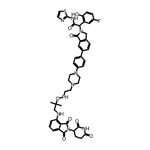 CC(C)(CNc1cccc2c1C(=O)N(C1CCC(=O)NC1=O)C2=O)OPCCN1CCN(c2ccc(-c3ccc4c(c3)C(=O)N(C(C(=O)Nc3nccs3)c3cc(F)ccc3O)C4)cc2)CC1